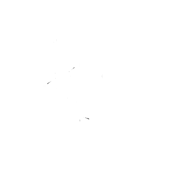 CC(C)=CCCC(C)CC[C@H]1CCC[C@]2(C=C(CO)[C@H]3CC(=O)C(C)=C[C@H]3O2)O1